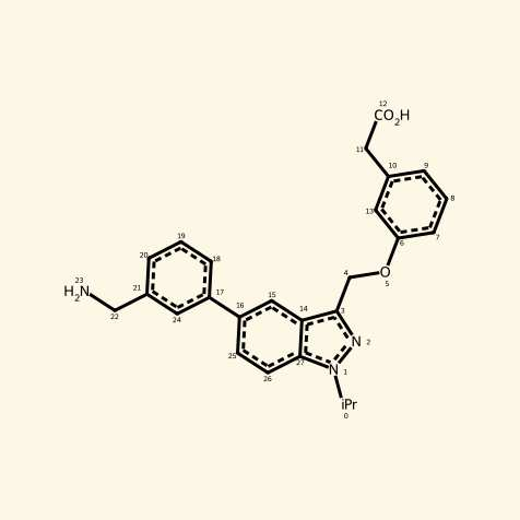 CC(C)n1nc(COc2cccc(CC(=O)O)c2)c2cc(-c3cccc(CN)c3)ccc21